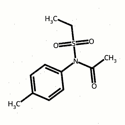 CCS(=O)(=O)N(C(C)=O)c1ccc(C)cc1